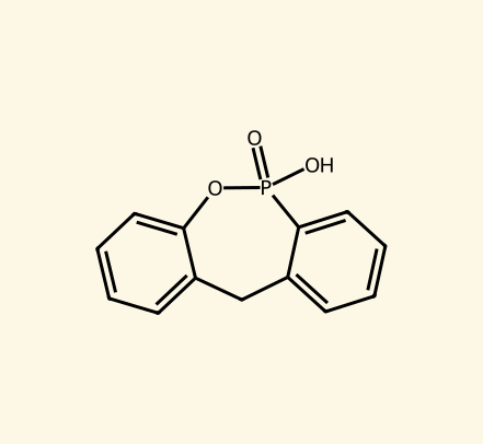 O=P1(O)Oc2ccccc2Cc2ccccc21